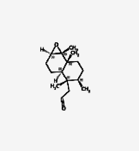 C[C@@H]1CC[C@]2(C)[C@H](CC[C@H]3O[C@@]32C)[C@@]1(C)CC=O